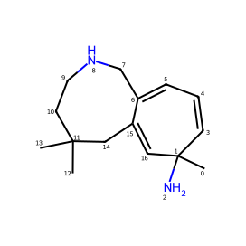 CC1(N)C=CC=C2CNCCC(C)(C)CC2=C1